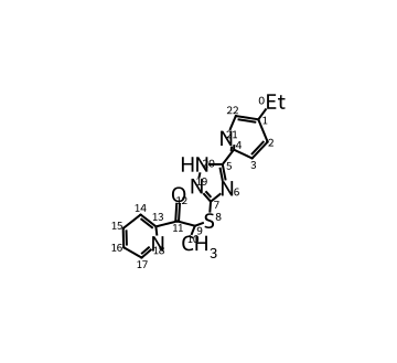 CCc1ccc(-c2nc(SC(C)C(=O)c3ccccn3)n[nH]2)nc1